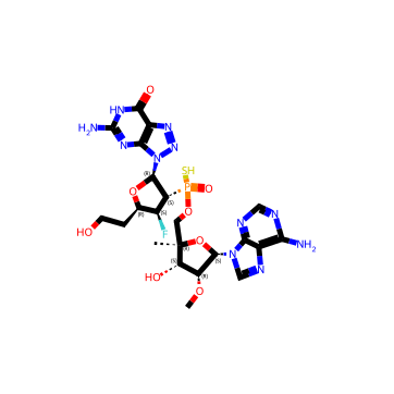 CO[C@H]1[C@@H](n2cnc3c(N)ncnc32)O[C@](C)(COP(=O)(S)[C@@H]2[C@@H](F)[C@@H](CCO)O[C@H]2n2nnc3c(=O)[nH]c(N)nc32)[C@H]1O